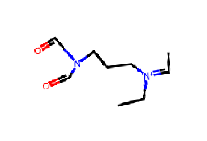 C/C=[N+](/CC)CCCN(C=O)C=O